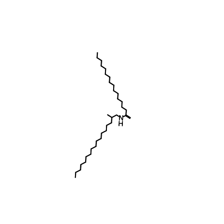 C=C(CCCCCCCCCCCCCCC)NCC(C)CCCCCCCCCCCCCCC